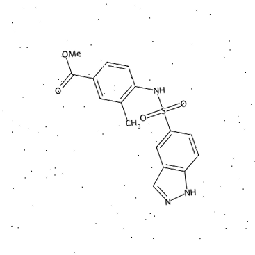 COC(=O)c1ccc(NS(=O)(=O)c2ccc3[nH]ncc3c2)c(C)c1